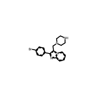 Brc1ccc(-c2nc3ccccn3c2CN2CCNCC2)cc1